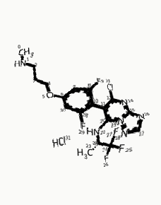 CNCCCOc1cc(F)c(-c2c(Cl)nc3ncnn3c2N[C@@H](C)C(F)(F)F)c(F)c1.Cl